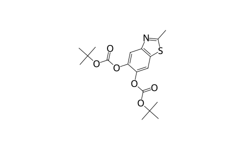 Cc1nc2cc(OC(=O)OC(C)(C)C)c(OC(=O)OC(C)(C)C)cc2s1